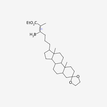 B/C(CCCC1CCC2C3CCC4CC5(CCC4(C)C3CCC12C)OCCO5)=C(/C)C(=O)OCC